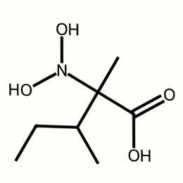 CCC(C)C(C)(C(=O)O)N(O)O